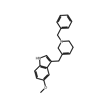 COc1ccc2[nH]cc(CC3=CCCN(Cc4ccccc4)C3)c2c1